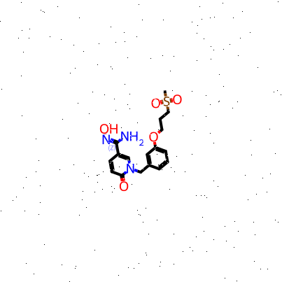 CS(=O)(=O)CCCOc1cccc(Cn2cc(/C(N)=N/O)ccc2=O)c1